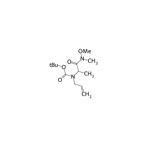 C=CCN(C(=O)OC(C)(C)C)C(C)C(=O)N(C)OC